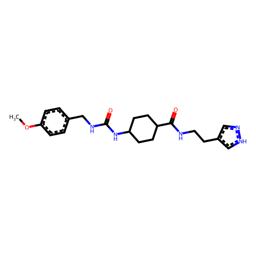 COc1ccc(CNC(=O)NC2CCC(C(=O)NCCc3cn[nH]c3)CC2)cc1